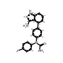 NC(=O)N(c1ccc(F)cc1)c1ccc(-c2cccc3[nH]nc(N)c23)cc1